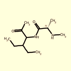 CCC(CC)C(NC(=O)[C@H](C)NC)C(C)=O